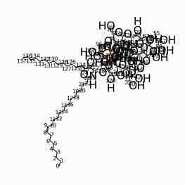 CCCCCCCC/C=C\CCCCCCCCCCCCCC(=O)N[C@@H](CO[C@@H]1OC(CO)[C@@H](O[C@@H]2OC(CO)[C@H](O)[C@H](O[C@@H]3OC(CO)[C@@H](O[C@H]4OC(C)[C@@H](O)C(O)[C@@H]4O)[C@H](O[C@@H]4OC(CO)[C@H](O)[C@H](O[C@@H]5OC(CO)[C@@H](O[C@@H]6OC(CO)[C@H](O)[C@H](O)C6O)[C@H](O[C@H]6OC(C)[C@@H](O)C(O)[C@@H]6O)C5NC(C)=O)C4O)C3NC(C)=O)C2O)[C@H](O)C1O)[C@H](O)/C=C/CCCCCCCCCCCCC